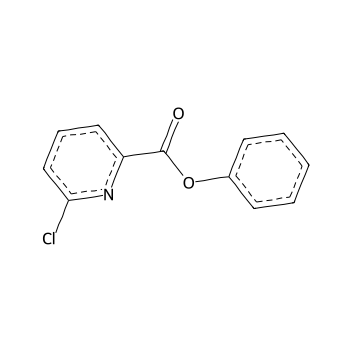 O=C(Oc1ccccc1)c1cccc(Cl)n1